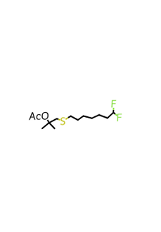 CC(=O)OC(C)(C)CSCCCCCCC(F)F